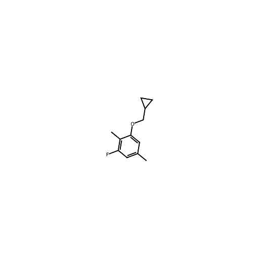 Cc1cc(F)c(C)c(OCC2CC2)c1